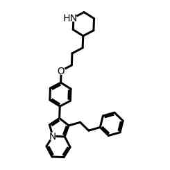 c1ccc(CCc2c(-c3ccc(OCCCC4CCCNC4)cc3)cn3ccccc23)cc1